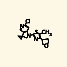 Cc1sc(N2CC3(CC3)c3cnc(Cl)cc32)nc1C1CCOC1